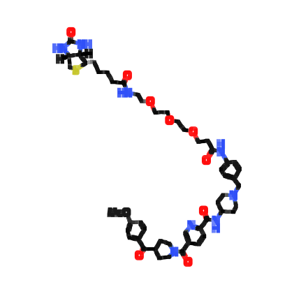 COc1ccc(C(=O)C2CCN(C(=O)c3ccc(C(=O)NC4CCN(Cc5ccc(NC(=O)CCOCCOCCOCCNC(=O)CCCC[C@@H]6SC[C@@H]7NC(=O)N[C@@H]76)cc5)CC4)nc3)CC2)cc1